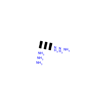 C=C.C=C.C=C.N.N.N.N.N.N